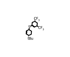 CC(C)(C)[C@@H]1C=CC(SC2=CC(C(F)(F)F)C[C@H](C(F)(F)F)C2)CC1